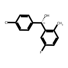 Cc1ccc(F)cc1[C@@H](O)c1ccc(Cl)cc1